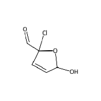 O=CC1(Cl)C=CC(O)O1